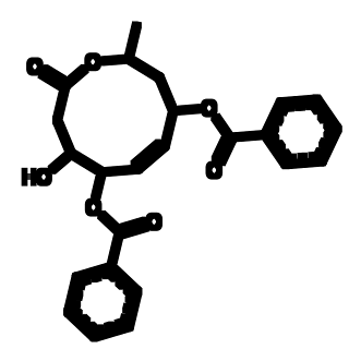 CC1CC(OC(=O)c2ccccc2)C=CC(OC(=O)c2ccccc2)C(O)CC(=O)O1